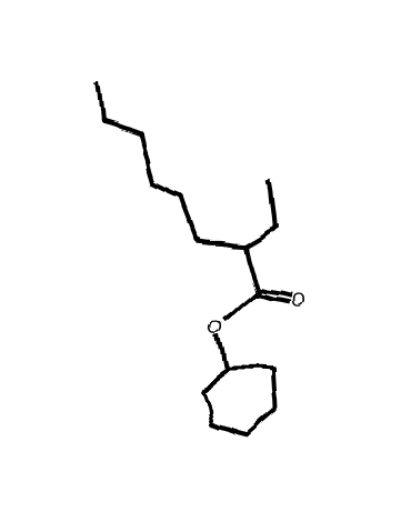 CCCCCCC(CC)C(=O)OC1CCCCC1